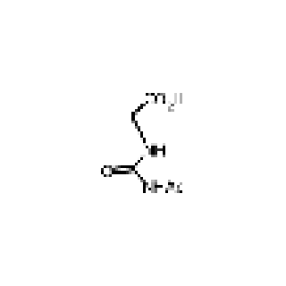 CC(=O)NC(=O)NCC(=O)O